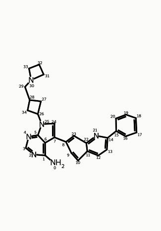 Nc1ncnc2c1c(-c1ccc3ccc(-c4ccccc4)nc3c1)cn2C1CC(CN2CCC2)C1